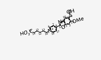 COc1cc2oc(-c3cc[n+](CCCCCC(=O)O)cc3)nc2cc1SO